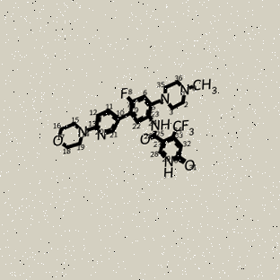 CN1CCN(c2cc(F)c(-c3ccc(N4CCOCC4)nc3)cc2NC(=O)c2c[nH]c(=O)cc2C(F)(F)F)CC1